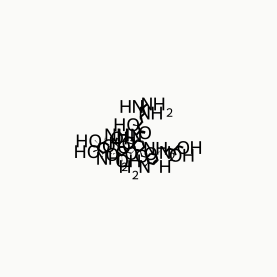 N=C(N)NCC[C@H](O)C(=O)N[C@@H]1C[C@H](N)[C@@H](O[C@H]2O[C@H](CNCC(O)CO)C=C[C@H]2N)[C@H](O[C@@H]2O[C@H](CO)[C@@H](O[C@H]3O[C@@H](CN)[C@@H](O)[C@H](O)[C@H]3N)[C@H]2O)[C@H]1O